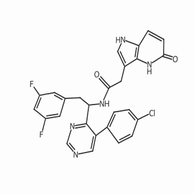 O=C(Cc1c[nH]c2ccc(=O)[nH]c12)NC(Cc1cc(F)cc(F)c1)c1ncncc1-c1ccc(Cl)cc1